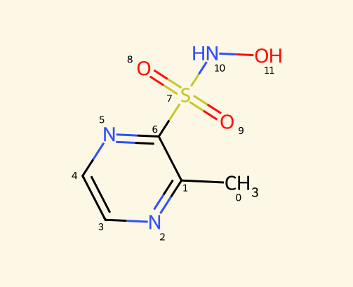 Cc1nccnc1S(=O)(=O)NO